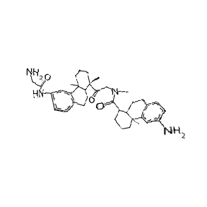 CN(CC(=O)[C@@]1(C)CCCC2(C)c3cc(NC(=O)CN)ccc3CCC21)C(=O)C1CCCC2(C)c3cc(N)ccc3CCC12